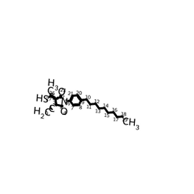 C=C=C1C(=O)N(c2ccc(CCCCCCCCCC)cc2)C(=O)/C1=C(\C)S